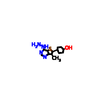 Cc1c(-c2ccc(O)cc2)sc2c(NN)ncnc12